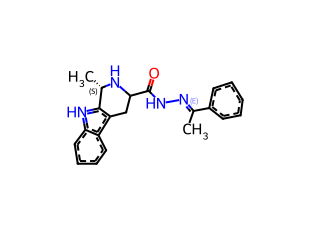 C/C(=N\NC(=O)C1Cc2c([nH]c3ccccc23)[C@H](C)N1)c1ccccc1